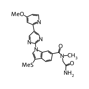 COc1ccnc(-c2cnc(-n3cc(SC)c4ccc(C(=O)N(C)CC(N)=O)cc43)nc2)c1